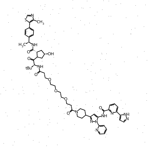 Cc1ncsc1-c1ccc([C@H](C)NC(=O)[C@@H]2C[C@@H](O)CC2C(=O)[C@@H](NC(=O)CCOCCOCCOCCC(=O)N2CCC(c3cc(NC(=O)c4cccc(-c5ccn[nH]5)n4)n(-c4ccccn4)n3)CC2)C(C)(C)C)cc1